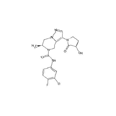 C[C@H]1Cn2ncc(N3CCC(O)C3=O)c2CN1C(=O)Nc1ccc(F)c(Cl)c1